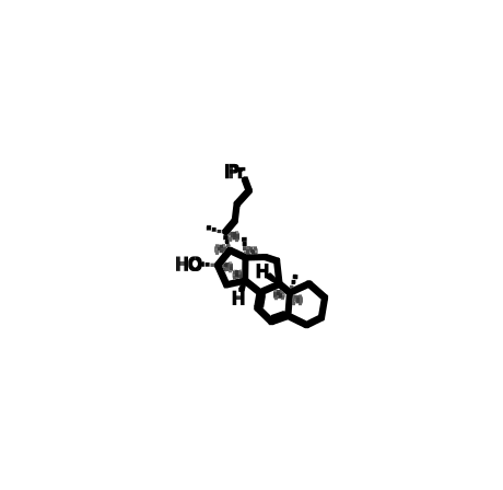 CC(C)CCC[C@@H](C)[C@H]1[C@@H](O)C[C@H]2C3=CC=C4CCCC[C@]4(C)[C@H]3CC[C@]12C